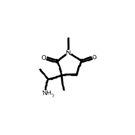 CC(N)C1(C)CC(=O)N(C)C1=O